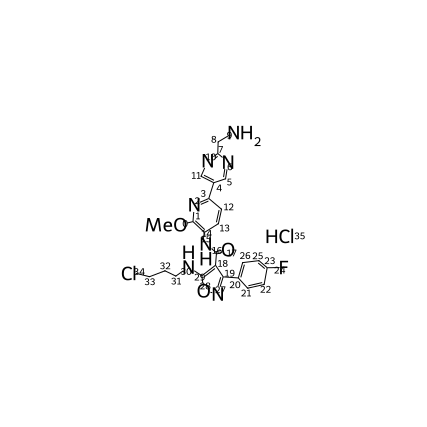 COc1nc(-c2cnc(CN)nc2)ccc1NC(=O)c1c(-c2ccc(F)cc2)noc1NCCCCl.Cl